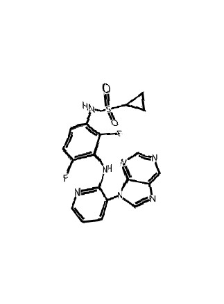 O=S(=O)(Nc1ccc(F)c(Nc2ncccc2-n2cnc3cncnc32)c1F)C1CC1